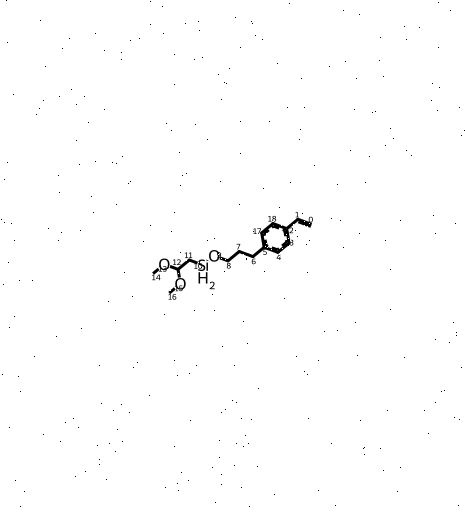 C=Cc1ccc(CCCO[SiH2]CC(OC)OC)cc1